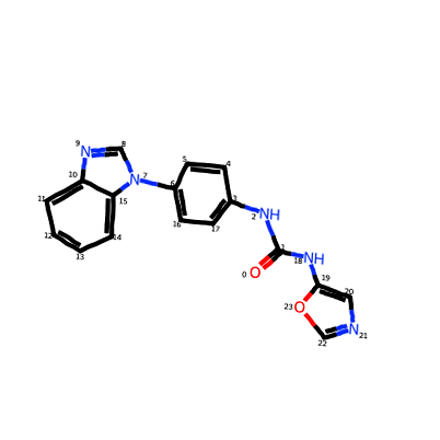 O=C(Nc1ccc(-n2cnc3ccccc32)cc1)Nc1cnco1